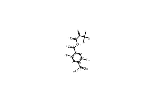 C=C(C(=O)OC(=O)c1cc(F)c([N+](=O)[O-])cc1F)C(C)(C)C